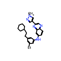 CCc1cc(CCC2CCCCC2)cc(Nc2ccc3ncc(-c4cnn(C)c4)nc3c2)c1